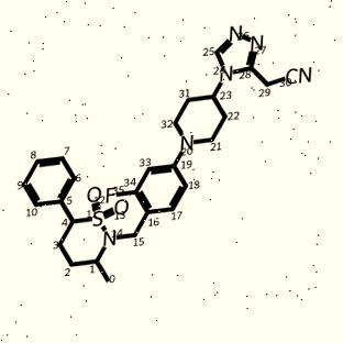 CC1CCC(c2ccccc2)S(=O)(=O)N1Cc1ccc(N2CCC(n3cnnc3CC#N)CC2)cc1F